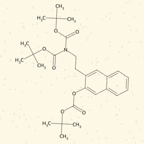 CC(C)(C)OC(=O)Oc1cc2ccccc2cc1CCN(C(=O)OC(C)(C)C)C(=O)OC(C)(C)C